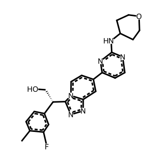 Cc1ccc([C@H](CO)c2nnc3cc(-c4ccnc(NC5CCOCC5)n4)ccn23)cc1F